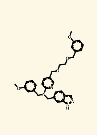 COc1cccc(COCCOCc2ccc(N(Cc3cccc(OC)c3)Cc3ccc4cn[nH]c4c3)nc2)c1